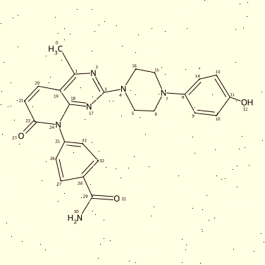 Cc1nc(N2CCN(c3ccc(O)cc3)CC2)nc2c1ccc(=O)n2-c1ccc(C(N)=O)cc1